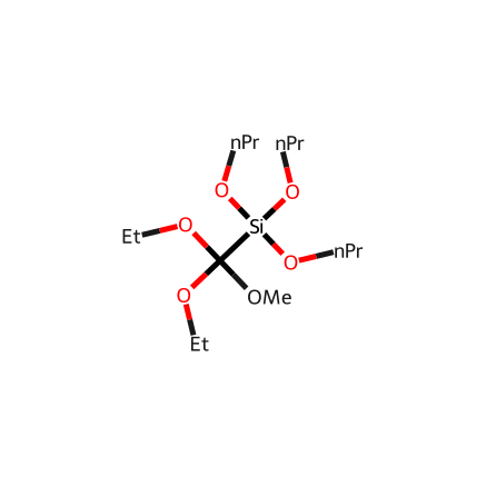 CCCO[Si](OCCC)(OCCC)C(OC)(OCC)OCC